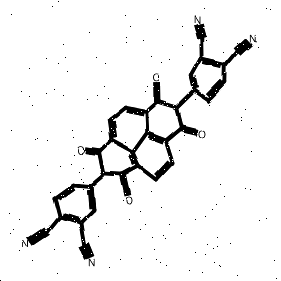 N#Cc1ccc(C2C(=O)c3ccc4c5c(ccc(c35)C2=O)C(=O)C(c2ccc(C#N)c(C#N)c2)C4=O)cc1C#N